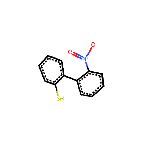 O=[N+]([O-])c1ccccc1-c1ccccc1S